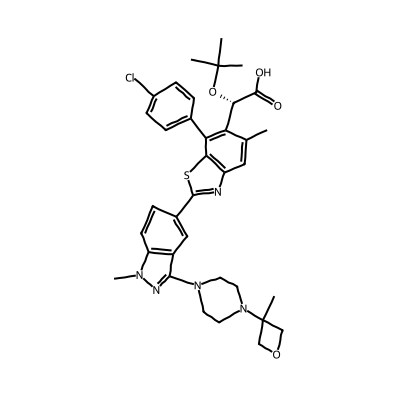 Cc1cc2nc(-c3ccc4c(c3)c(N3CCN(C5(C)COC5)CC3)nn4C)sc2c(-c2ccc(Cl)cc2)c1[C@H](OC(C)(C)C)C(=O)O